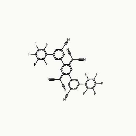 N#CC(C#N)=c1cc(-c2cc(C#N)cc(-c3c(F)c(F)c(F)c(F)c3F)c2)c(=C(C#N)C#N)cc1-c1cc(C#N)cc(-c2c(F)c(F)c(F)c(F)c2F)c1